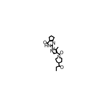 CCC(=O)C1CCN(C(=O)c2cnn(-c3nc4c(c(=O)[nH]3)CCC4)c2C)CC1